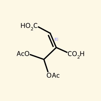 CC(=O)OC(OC(C)=O)/C(=C\C(=O)O)C(=O)O